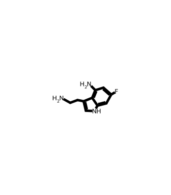 NCCc1c[nH]c2cc(F)cc(N)c12